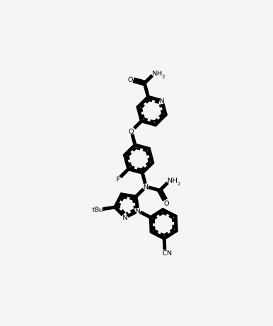 CC(C)(C)c1cc(N(C(N)=O)c2ccc(Oc3ccnc(C(N)=O)c3)cc2F)n(-c2cccc(C#N)c2)n1